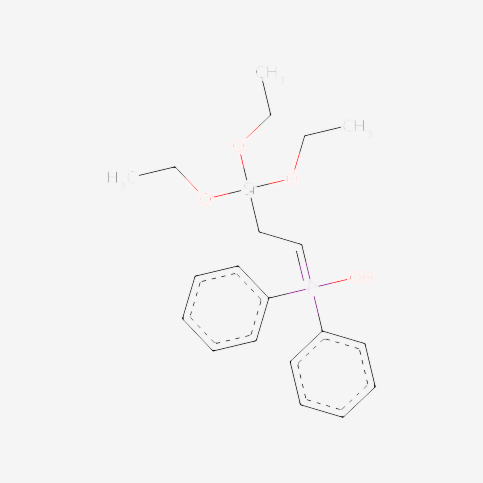 CCO[Si](CC=P(O)(c1ccccc1)c1ccccc1)(OCC)OCC